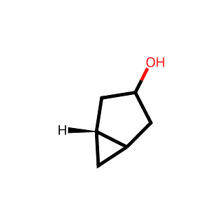 OC1CC2C[C@@H]2C1